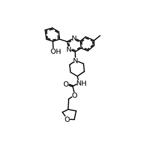 Cc1ccc2c(N3CCC(NC(=O)OCC4CCOC4)CC3)nc(-c3ccccc3O)nc2c1